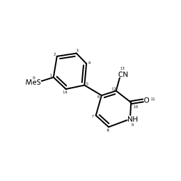 CSc1cccc(-c2cc[nH]c(=O)c2C#N)c1